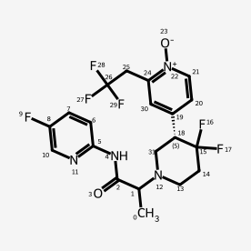 CC(C(=O)Nc1ccc(F)cn1)N1CCC(F)(F)[C@@H](c2cc[n+]([O-])c(CC(F)(F)F)c2)C1